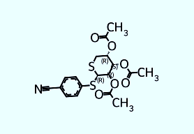 CC(=O)O[C@@H]1[C@@H](OC(C)=O)[C@@H](Sc2ccc(C#N)cc2)SC[C@@H]1OC(C)=O